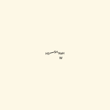 SS.[NaH].[W]